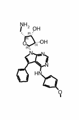 COc1ccc(Nc2ncnc3c2c(-c2ccccc2)cn3[C@@H]2O[C@H](CN)[C@H](O)[C@@H]2O)cc1